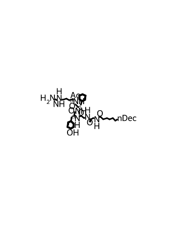 CCCCCCCCCCCCCCCC(=O)NCC(=O)NCC(=O)N[C@@H](Cc1ccc(O)cc1)C(=O)N[C@@H](Cc1ccccc1)C(=O)N[C@@H](CCCNC(=N)N)C(C)=O